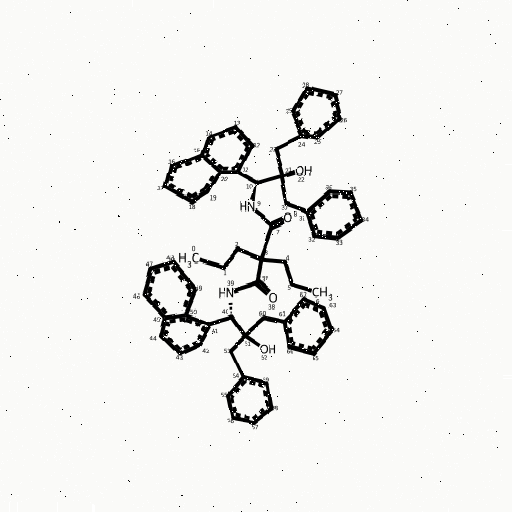 CCCC(CCC)(C(=O)N[C@@H](c1cccc2ccccc12)C(O)(Cc1ccccc1)Cc1ccccc1)C(=O)N[C@@H](c1cccc2ccccc12)C(O)(Cc1ccccc1)Cc1ccccc1